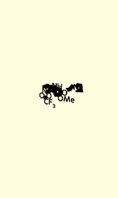 COc1cc2c(cc1OCCCN1CCCC1)[nH]c1ccnc(OC(=O)C(F)(F)F)c12